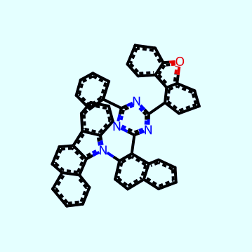 c1ccc(-c2nc(-c3c(-n4c5ccccc5c5ccc6ccccc6c54)ccc4ccccc34)nc(-c3cccc4oc5ccccc5c34)n2)cc1